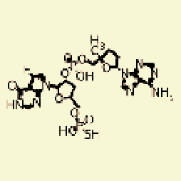 CC1(COP(=O)(O)O[C@@H]2CC(COP(=O)(O)S)OC2n2cc(F)c3c(=O)[nH]cnc32)CC[C@H](n2cnc3c(N)ncnc32)O1